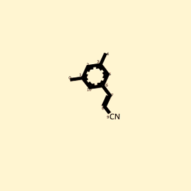 Cc1cc(C)cc(C=CC#N)c1